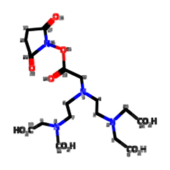 O=C(O)CN(CCN(CCN(CC(=O)O)C(=O)O)CC(=O)ON1C(=O)CCC1=O)CC(=O)O